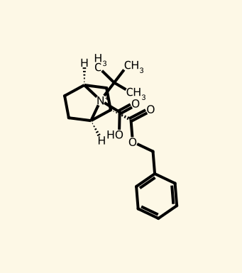 CC(C)(C)[N+]1(C(=O)O)[C@H]2CC[C@@H]1[C@@H](C(=O)OCc1ccccc1)C2